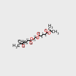 CC(C)OC(=O)CCCC(=O)OCCOC(=O)CCCC(=O)C(C)C